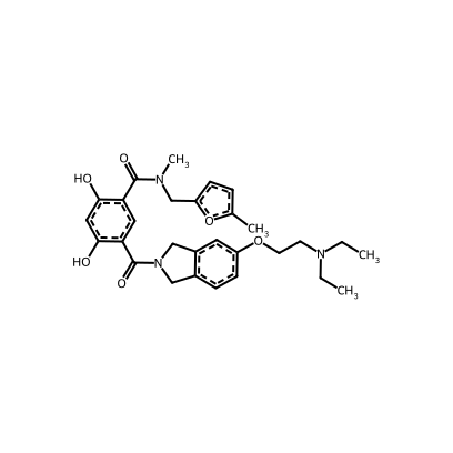 CCN(CC)CCOc1ccc2c(c1)CN(C(=O)c1cc(C(=O)N(C)Cc3ccc(C)o3)c(O)cc1O)C2